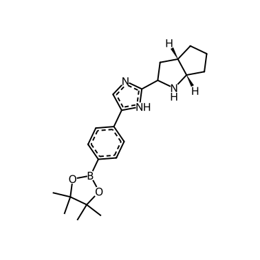 CC1(C)OB(c2ccc(-c3cnc(C4C[C@@H]5CCC[C@@H]5N4)[nH]3)cc2)OC1(C)C